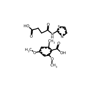 COc1cc(C)c(C(=O)O)c(OC)c1.O=C(O)CCC(=O)Nc1nccs1